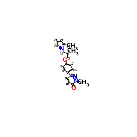 CC(COc1ccc(-c2ccc(=O)n(C)n2)cc1)CN1CCCC1C